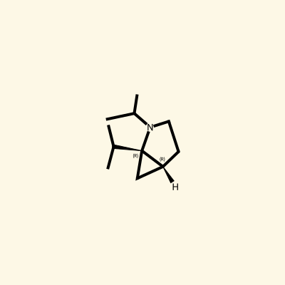 CC(C)N1CC[C@@H]2C[C@@]21C(C)C